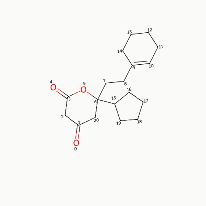 O=C1CC(=O)OC(CCC2=CCCCC2)(C2CCCC2)C1